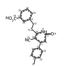 Cc1ccc(-c2cc(=O)[nH]c(SCc3cccc(C(=O)O)c3)c2C#N)cc1